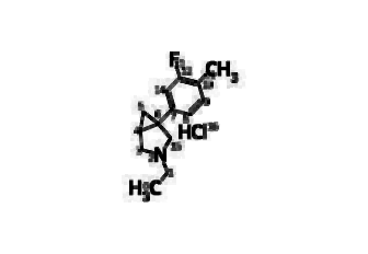 CCN1CC2CC2(c2ccc(C)c(F)c2)C1.Cl